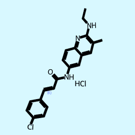 CCNc1nc2ccc(NC(=O)/C=C/c3ccc(Cl)cc3)cc2cc1C.Cl